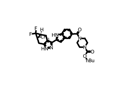 CCCCOC(=O)N1CCN(C(=O)c2ccc3[nH]c(-c4n[nH]c5c4C[C@@H]4C(F)(F)[C@]4(C)C5)cc3c2)CC1